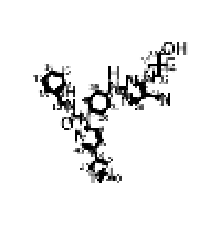 Cn1cc(-c2ccc(N(C(=O)NCc3ccccc3)[C@H]3CC[C@H](Nc4ncc(C#N)c(N5CC(F)(CO)C5)n4)CC3)nc2)cn1